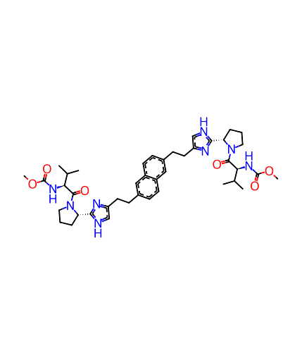 COC(=O)N[C@H](C(=O)N1CCC[C@H]1c1nc(CCc2ccc3cc(CCc4c[nH]c([C@@H]5CCCN5C(=O)[C@@H](NC(=O)OC)C(C)C)n4)ccc3c2)c[nH]1)C(C)C